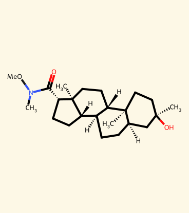 CON(C)C(=O)[C@H]1CC[C@H]2[C@@H]3CC[C@@H]4C[C@](C)(O)CC[C@]4(C)[C@H]3CC[C@]12C